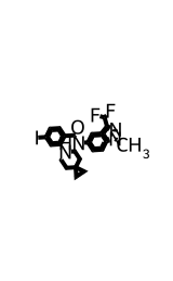 Cn1nc(C(F)F)c2cc(NC(=O)c3ccc(I)cc3N3CCC4(CC3)CC4)ccc21